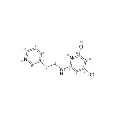 Clc1cc(NCCc2cccnc2)nc(Cl)n1